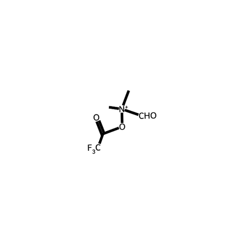 C[N+](C)(C=O)OC(=O)C(F)(F)F